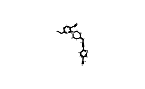 CCc1ccc(C#N)c(N2CCC(=CC#Cc3ccc(C#N)cn3)CC2)n1